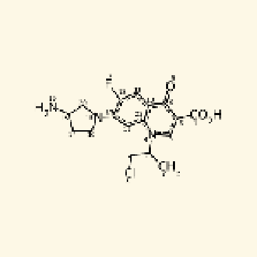 CC(CCl)n1cc(C(=O)O)c(=O)c2cc(F)c(N3CCC(N)C3)cc21